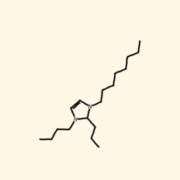 CCCCCCCCN1C=CN(CCCC)C1CCC